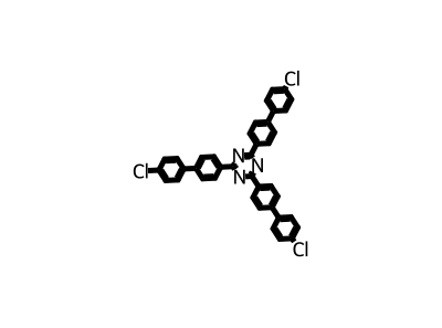 Clc1ccc(-c2ccc(-c3nc(-c4ccc(-c5ccc(Cl)cc5)cc4)nc(-c4ccc(-c5ccc(Cl)cc5)cc4)n3)cc2)cc1